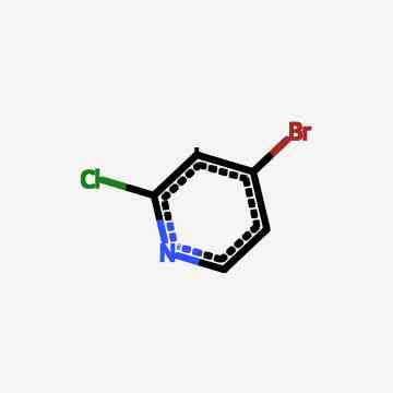 Clc1[c]c(Br)ccn1